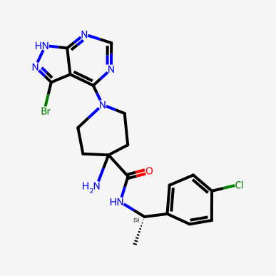 C[C@H](NC(=O)C1(N)CCN(c2ncnc3[nH]nc(Br)c23)CC1)c1ccc(Cl)cc1